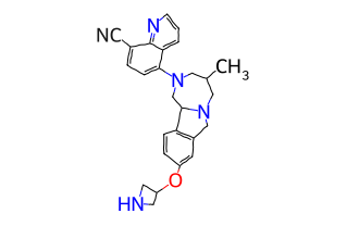 CC1CN(c2ccc(C#N)c3ncccc23)CC2c3ccc(OC4CNC4)cc3CN2C1